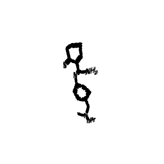 CCCN(C)Cc1ccc(N=C(N)C2=CC=CCC2=S)cc1